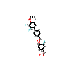 COc1ccc(-c2ccc(COc3ccc(CO)cc3F)cc2)c(F)c1F